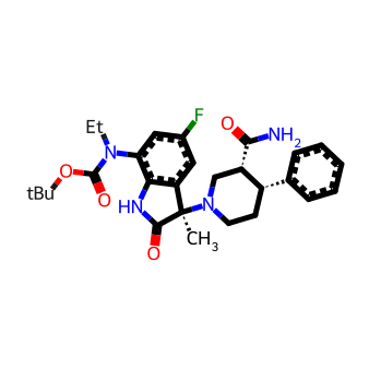 CCN(C(=O)OC(C)(C)C)c1cc(F)cc2c1NC(=O)[C@]2(C)N1CC[C@@H](c2ccccc2)[C@@H](C(N)=O)C1